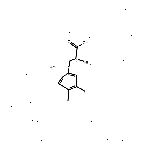 Cc1ccc(C[C@H](N)C(=O)O)cc1F.Cl